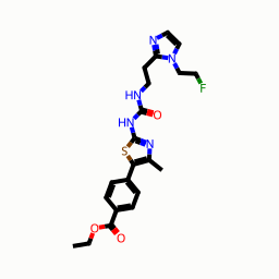 CCOC(=O)c1ccc(-c2sc(NC(=O)NCCc3nccn3CCF)nc2C)cc1